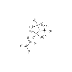 CC(C)(O)N(C(C)(C)O)C(C)(C)O.O=C(O)C(Cl)Cl